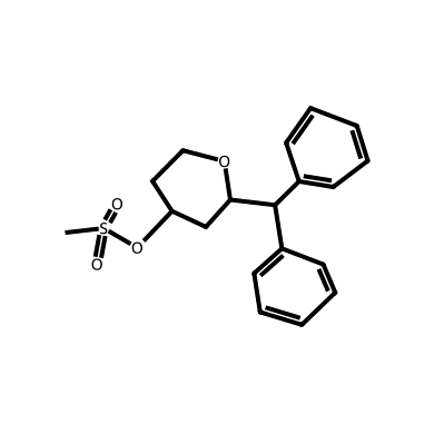 CS(=O)(=O)OC1CCOC(C(c2ccccc2)c2ccccc2)C1